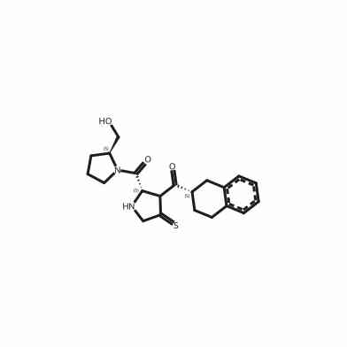 O=C(C1C(=S)CN[C@@H]1C(=O)N1CCC[C@H]1CO)[C@H]1CCc2ccccc2C1